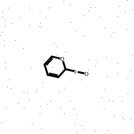 [O][Ir][CH]1C=CC=CO1